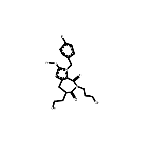 CCOc1nc2c(n1Cc1ccc(F)cc1)C(=O)N(CCCO)C(=O)C(CCO)C2